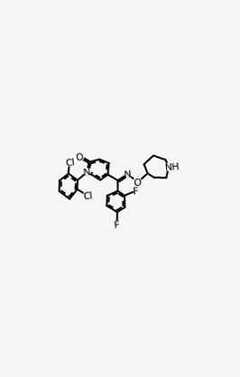 O=c1ccc(C(=NOC2CCCNCC2)c2ccc(F)cc2F)cn1-c1c(Cl)cccc1Cl